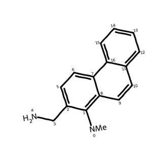 CNc1c(CN)ccc2c1ccc1ccccc12